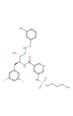 CCc1cccc(CNC[C@@H](O)[C@H](Cc2cc(F)cc(F)c2)NC(=O)c2cncc(NS(=O)(=O)CCCCO)c2)c1